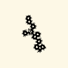 CC1(C)c2ccccc2-c2c(-c3cccc(-c4ccc(-c5cc(-c6cccc(-c7ccc8ccccc8c7)c6)nc(-c6ccccc6)n5)c5ccccc45)c3)cccc21